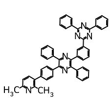 Cc1ccc(-c2ccc(-c3nc(-c4ccccc4)c(-c4cccc(-c5nc(-c6ccccc6)nc(-c6ccccc6)n5)c4)nc3-c3ccccc3)cc2)c(C)n1